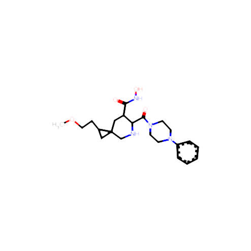 COCCC1CC12CNC(C(=O)N1CCN(c3ccccc3)CC1)C(C(=O)NO)C2